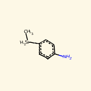 C[SiH2]c1ccc(N)cc1